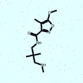 CNCC(C)(C)CNC(=O)c1noc(OC)c1C